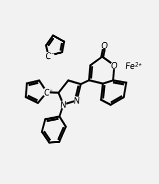 O=c1cc(C2=NN(c3ccccc3)C([c-]3cccc3)C2)c2ccccc2o1.[Fe+2].c1cc[cH-]c1